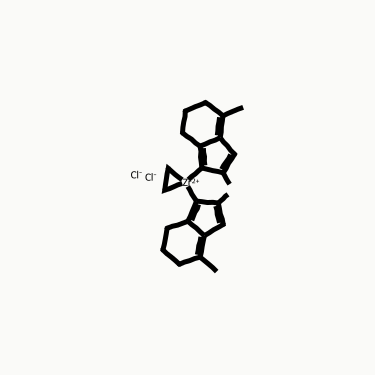 CC1=CC2=C(C)CCCC2=[C]1[Zr+2]1([C]2=C3CCCC(C)=C3C=C2C)[CH2][CH2]1.[Cl-].[Cl-]